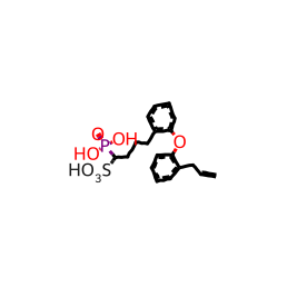 C=CCc1ccccc1Oc1ccccc1CCCC(P(=O)(O)O)S(=O)(=O)O